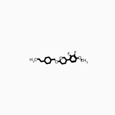 CCCC1CCC(COC2CCC(c3ccc(OC)c(F)c3F)CO2)CC1